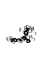 CCS(=O)(=O)c1ccc(CC(=O)N2C[C@@H](c3ccc(C(O)(C(F)(F)F)C(F)(F)F)cc3)[C@@](C)(c3ccccc3)C2)cc1